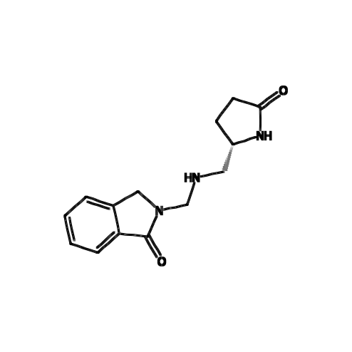 O=C1CC[C@@H](CNCN2Cc3ccccc3C2=O)N1